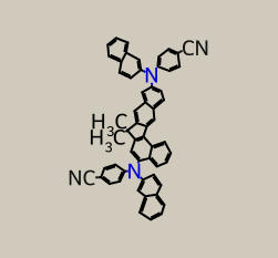 CC1(C)c2cc3cc(N(c4ccc(C#N)cc4)c4ccc5ccccc5c4)ccc3cc2-c2c1cc(N(c1ccc(C#N)cc1)c1ccc3ccccc3c1)c1ccccc21